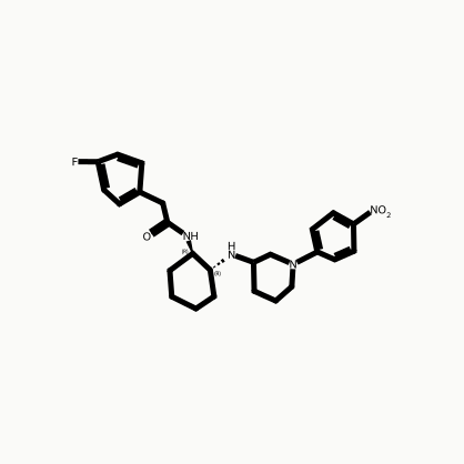 O=C(Cc1ccc(F)cc1)N[C@@H]1CCCC[C@H]1NC1CCCN(c2ccc([N+](=O)[O-])cc2)C1